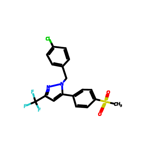 CS(=O)(=O)c1ccc(-c2cc(C(F)(F)F)nn2Cc2ccc(Cl)cc2)cc1